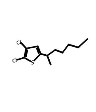 CCCCCC(C)c1cc(Cl)c(Cl)s1